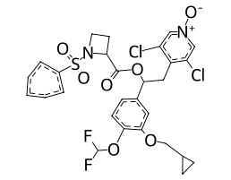 O=C(OC(Cc1c(Cl)c[n+]([O-])cc1Cl)c1ccc(OC(F)F)c(OCC2CC2)c1)C1CCN1S(=O)(=O)c1ccccc1